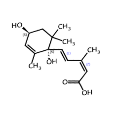 CC1=C[C@@H](O)CC(C)(C)[C@@]1(O)/C=C/C(C)=C\C(=O)O